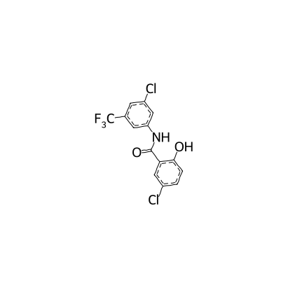 O=C(Nc1cc(Cl)cc(C(F)(F)F)c1)c1cc(Cl)ccc1O